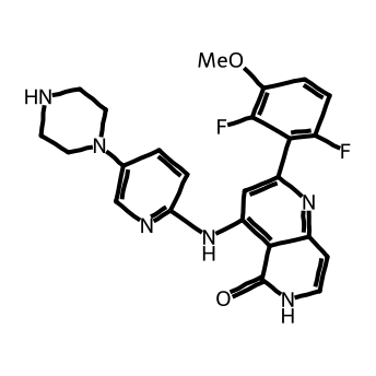 COc1ccc(F)c(-c2cc(Nc3ccc(N4CCNCC4)cn3)c3c(=O)[nH]ccc3n2)c1F